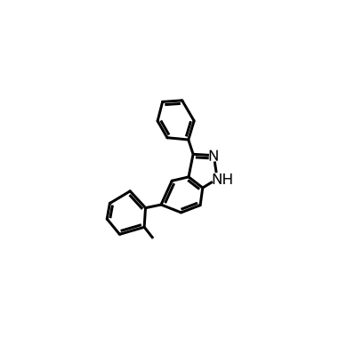 Cc1ccccc1-c1ccc2[nH]nc(-c3ccccc3)c2c1